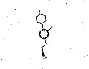 C#CCOc1ccc(N2CCNCC2)c(F)c1